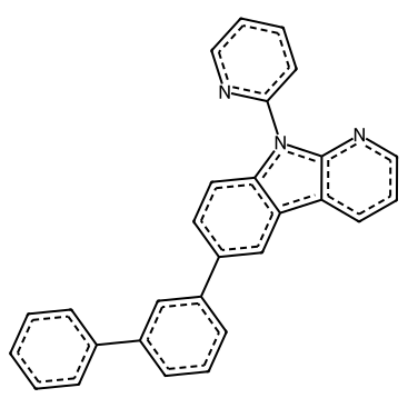 c1ccc(-c2cccc(-c3ccc4c(c3)c3cccnc3n4-c3ccccn3)c2)cc1